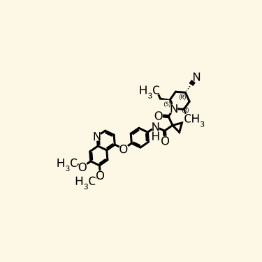 CC[C@H]1C[C@H](C#N)C[C@@H](C)N1C(=O)C1(C(=O)Nc2ccc(Oc3ccnc4cc(OC)c(OC)cc34)cc2)CC1